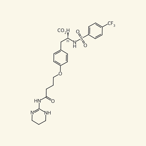 O=C(CCCOc1ccc(C[C@H](NS(=O)(=O)c2ccc(C(F)(F)F)cc2)C(=O)O)cc1)NC1=NCCCN1